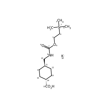 C[Si](C)(C)CCOC(=O)NC[C@H]1CC[C@H](C(=O)O)CC1.[K]